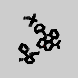 CN(C)c1ccccc1-c1ccccc1[PH+](C1CCCCC1)C1CCCCC1.CNc1ccccc1-c1[c-]cccc1.CS(=O)(=O)O.[Pd]